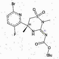 CN1/C(=N/C(=O)OC(C)(C)C)N[C@](C)(c2nc(Br)ccc2F)CS1(=O)=O